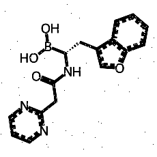 O=C(Cc1ncccn1)N[C@@H](Cc1coc2ccccc12)B(O)O